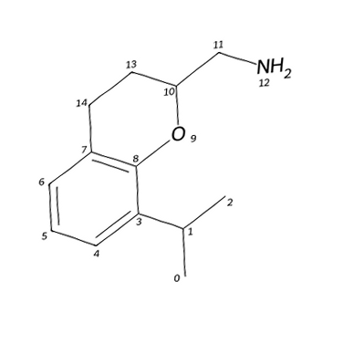 CC(C)c1cccc2c1OC(CN)CC2